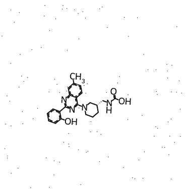 Cc1ccc2c(N3CCC[C@@H](CNC(=O)O)C3)nc(-c3ccccc3O)nc2c1